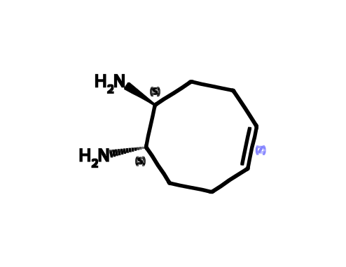 N[C@H]1CC/C=C\CC[C@@H]1N